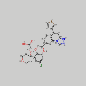 COC1(c2cc(F)cc(OC(COCC(=O)O)c3ccc4c(-c5ccsc5)cc5nncn5c4c3)c2)CCOCC1